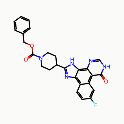 O=C(OCc1ccccc1)N1CCC(c2nc3c4ccc(F)cc4c4c(=O)[nH]cnc4c3[nH]2)CC1